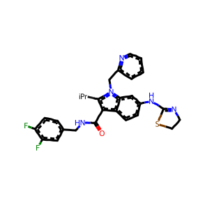 CC(C)c1c(C(=O)NCc2ccc(F)c(F)c2)c2ccc(NC3=NCCS3)cc2n1Cc1ccccn1